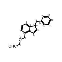 O=CCOCc1cccc2c1ccn2Cc1ccccc1